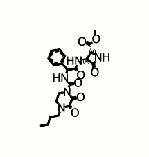 CCCCN1CCN(C(=O)NC(C(=O)N[C@H]2C(=O)N[C@H]2C(=O)OC)c2ccccc2)C(=O)C1=O